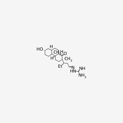 CC[C@H](C/C=N/NC(=N)N)[C@@]1(C)CC[C@H]2[C@@H](CC[C@@H]3C[C@@H](O)CC[C@@]32C)C1=O